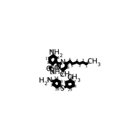 CCCCCCCc1cc(C)nc(-c2cc(N)ccc2S(N)(=O)=O)n1.Cc1cccc(Sc2ccc(N)cc2)c1